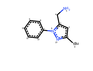 CC(C)(C)c1cc(CN)n(-c2ccccc2)n1